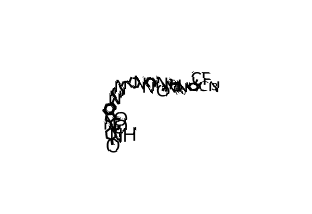 C[C@@H]1CN(c2ccc(C#N)c(C(F)(F)F)c2)[C@@H](C)CN1C(=O)Nc1ccc(N2CCC(CN3CCN(c4ccc5c(c4)C(=O)N(C4CCC(=O)NC4=O)C5)CC3)CC2)nc1